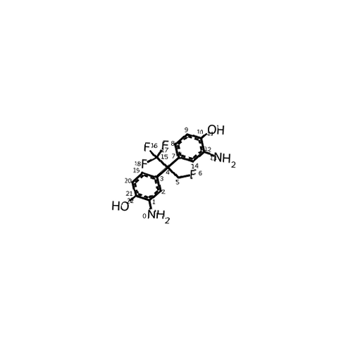 Nc1cc(C(CF)(c2ccc(O)c(N)c2)C(F)(F)F)ccc1O